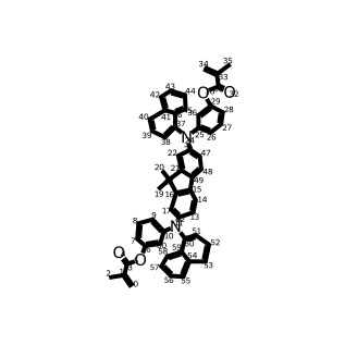 C=C(C)C(=O)Oc1cccc(N(c2ccc3c(c2)C(C)(C)c2cc(N(c4cccc(OC(=O)C(=C)C)c4)c4cccc5ccccc45)ccc2-3)c2cccc3ccccc23)c1